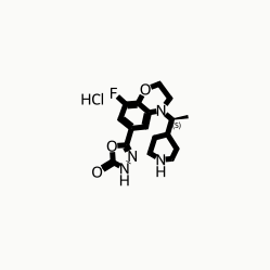 C[C@@H](C1CCNCC1)N1CCOc2c(F)cc(-c3n[nH]c(=O)o3)cc21.Cl